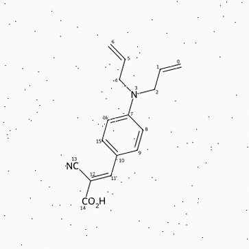 C=CCN(CC=C)c1ccc(/C=C(\C#N)C(=O)O)cc1